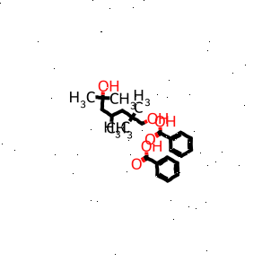 CC(CC(C)(C)O)CC(C)(C)CO.O=C(O)c1ccccc1.O=C(O)c1ccccc1